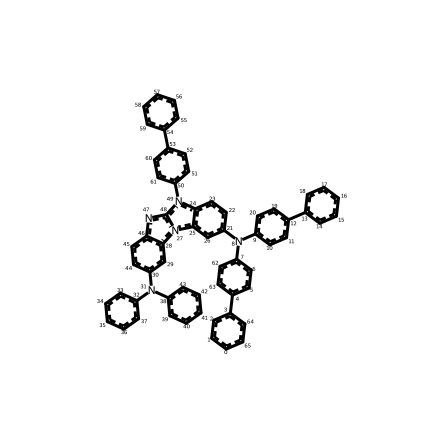 c1ccc(-c2ccc(N(c3ccc(-c4ccccc4)cc3)c3ccc4c(c3)n3c5cc(N(c6ccccc6)c6ccccc6)ccc5nc3n4-c3ccc(-c4ccccc4)cc3)cc2)cc1